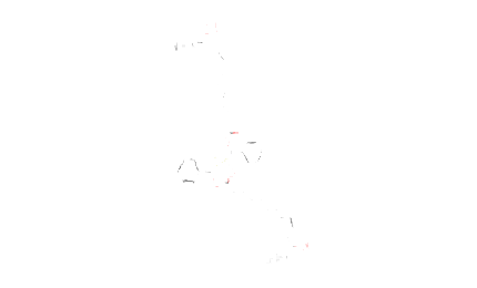 CCCCCCC(O)C/C=C\CCCCCCCC(=O)OC(SSC(OC(=O)CCCCCCC/C=C\C[C@H](O)CCCCCC)c1ccccc1)c1ccccc1